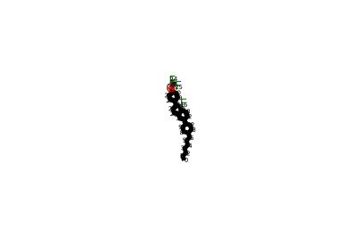 CCCCCCCC1CCC(c2ccc3c(F)c(-c4ccc(OC(F)F)cc4)ccc3c2)CC1